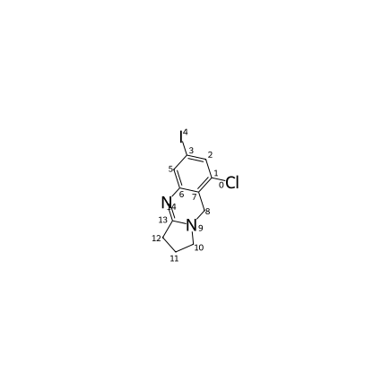 Clc1cc(I)cc2c1CN1CCCC1=N2